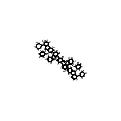 c1ccc(N(c2cccc3c2Cc2c-3cccc2C2CCCCC2)c2cccc3c2c2cccc4c5cc6c(cc5n3c42)c2cccc3c4c(N(c5ccccc5)c5cccc7c5Cc5c-7cccc5C5CCCCC5)cccc4n6c23)cc1